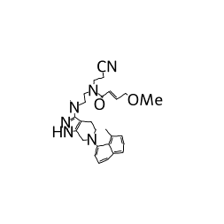 COC/C=C/C(=O)N(CCC#N)CCN(C)c1n[nH]c2c1CCN(c1cccc3cccc(C)c13)C2